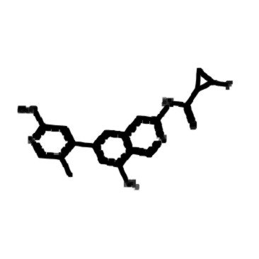 COc1cc(-c2cc(N)c3cnc(NC(=O)C4CC4F)cc3c2)c(C)cn1